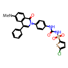 CNc1ccc2c(=O)n(-c3ccc(NC(=O)NS(=O)(=O)c4ccc(Cl)s4)cc3)cc(-c3ccccc3)c2c1